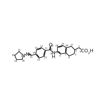 O=C(O)CC1CCc2cc(NC(=O)c3ccc(C=NN4CCCC4)cc3)ccc2C1